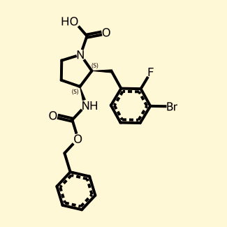 O=C(N[C@H]1CCN(C(=O)O)[C@H]1Cc1cccc(Br)c1F)OCc1ccccc1